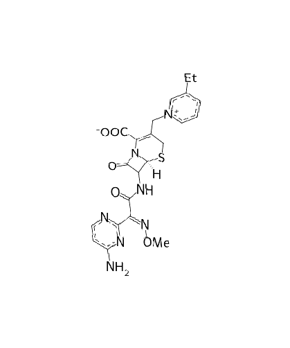 CCc1ccc[n+](CC2=C(C(=O)[O-])N3C(=O)C(NC(=O)C(=NOC)c4nccc(N)n4)[C@@H]3SC2)c1